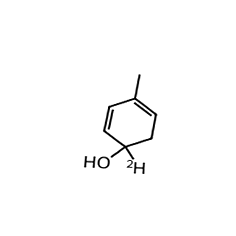 [2H]C1(O)C=CC(C)=CC1